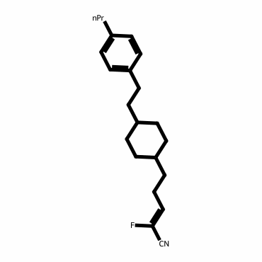 CCCc1ccc(CCC2CCC(CCC=C(F)C#N)CC2)cc1